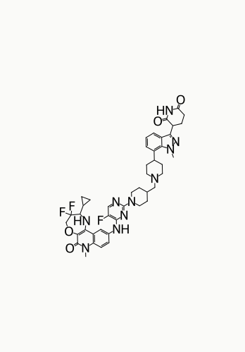 Cn1nc(C2CCC(=O)NC2=O)c2cccc(C3CCN(CC4CCN(c5ncc(F)c(Nc6ccc7c(c6)c6c(c(=O)n7C)OCC(F)(F)C(C7CC7)N6)n5)CC4)CC3)c21